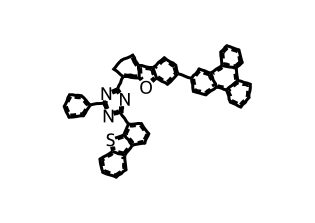 C1=c2c(oc3cc(-c4ccc5c6ccccc6c6ccccc6c5c4)ccc23)=C(c2nc(-c3ccccc3)nc(-c3cccc4c3sc3ccccc34)n2)CC1